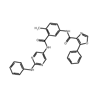 Cc1ccc(NC(=O)c2ncoc2-c2ccccc2)cc1C(=O)Nc1cnc(Nc2ccccc2)nc1